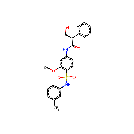 CCOc1cc(NC(=O)[C@@H](CO)c2ccccc2)ccc1S(=O)(=O)Nc1cccc(C(F)(F)F)c1